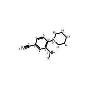 CNc1cc(C#N)ccc1N1CCCCC1